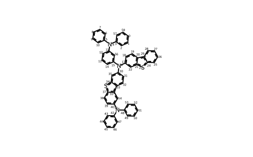 c1ccc(N(c2ccccc2)c2cccc(N(c3ccc4c(c3)sc3ccccc34)c3ccc4c(c3)sc3ccc(N(c5ccccc5)c5ccccc5)cc34)c2)cc1